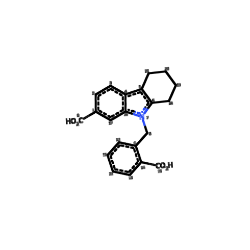 O=C(O)c1ccc2c3c(n(Cc4ccccc4C(=O)O)c2c1)CCCC3